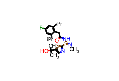 C/N=S(/NC(=O)Cc1c(C(C)C)cc(F)cc1C(C)C)c1ncc(C(C)(C)O)s1